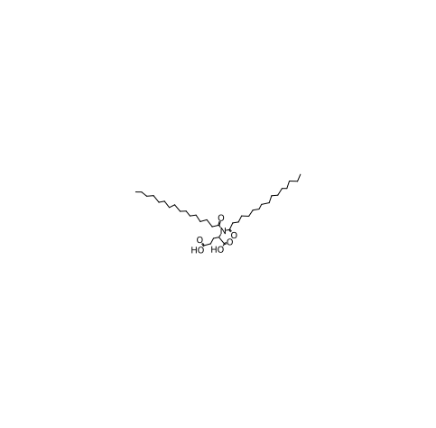 CCCCCCCCCCCCCCCC(=O)N(C(=O)CCCCCCCCCCCCCCC)C(CCC(=O)O)C(=O)O